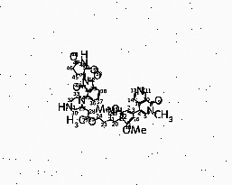 COc1cc(-c2cn(C)c(=O)c3cnccc23)cc(OC)c1CC(N)CCOC(C)CC1CNCCN1c1cccc2c1C(=O)N(C1CCC(=O)NC1=O)C2=O